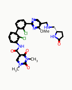 COc1nc(-c2cccc(-c3cccc(NC(=O)c4cn(C)c(=O)n(C)c4=O)c3Cl)c2Cl)ncc1CNC[C@@H]1CCC(=O)N1